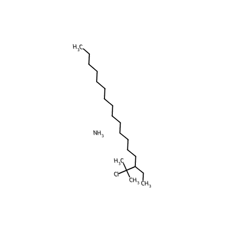 CCCCCCCCCCCCCCC(CC)C(C)(C)Cl.N